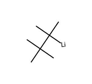 [Li][C](C)(C)C(C)(C)C